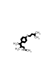 CNCC(C)=C(C)c1ccc(SCCC(C)C)cc1